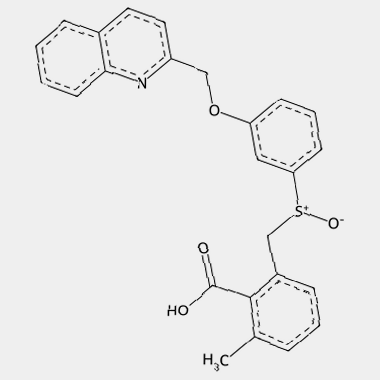 Cc1cccc(C[S+]([O-])c2cccc(OCc3ccc4ccccc4n3)c2)c1C(=O)O